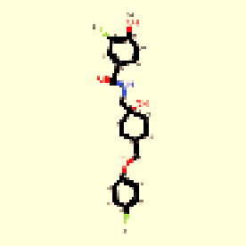 O=C(NCC1(O)CCC(COc2ccc(F)cc2)CC1)c1ccc(O)c(F)c1